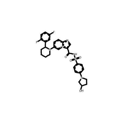 O=C(NS(=O)(=O)c1ccc(N2CCC(O)C2)cc1)c1cnc2ccc(N3CCCCC3c3cc(F)ccc3F)cn12